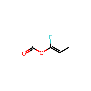 CC=C(F)O[C]=O